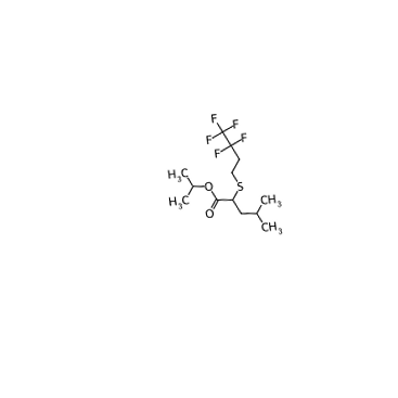 CC(C)CC(SCCC(F)(F)C(F)(F)F)C(=O)OC(C)C